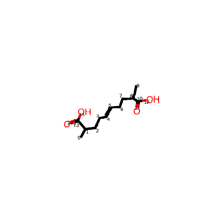 CC(CCC=CCCC(C)C(=O)O)C(=O)O